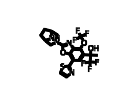 CC(O)(c1cc(-c2nccs2)c2oc(N3CC4CCC(C3)N4)nc2c1OC(F)(F)F)C(F)(F)F